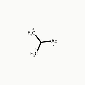 CC(=O)C(C(F)(F)F)C(F)(F)F